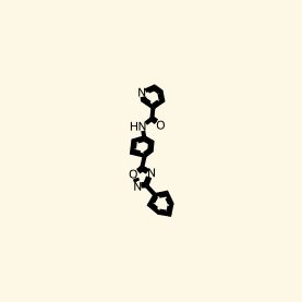 O=C(Nc1ccc(-c2nc(-c3ccccc3)no2)cc1)c1cccnc1